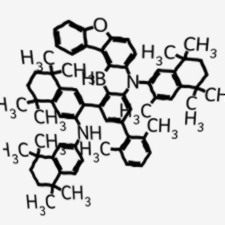 Cc1cc2c(cc1N1c3cc(-c4c(C)cccc4C)cc(-c4cc5c(cc4Nc4ccc6c(c4)C(C)(C)CCC6(C)C)C(C)(C)CCC5(C)C)c3Bc3c1ccc1oc4ccccc4c31)C(C)(C)CCC2(C)C